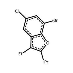 CCc1c(C(C)C)oc2c(Br)cc(Cl)cc12